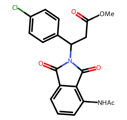 COC(=O)CC(c1ccc(Cl)cc1)N1C(=O)c2cccc(NC(C)=O)c2C1=O